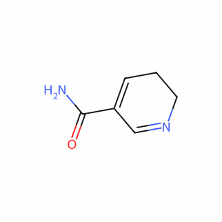 NC(=O)C1=CCCN=C1